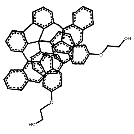 OCCOc1ccc2cc(C3(c4ccc5cc(OCCO)ccc5c4)c4c(cccc4-c4c5ccccc5cc5ccccc45)-c4cccc(-c5c6ccccc6cc6ccccc56)c43)ccc2c1